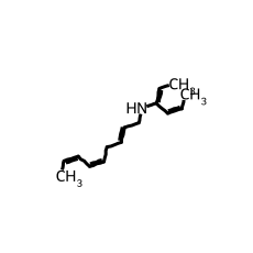 C/C=C\C=C/C/C=C/CNC(/C=C\C)=C/C